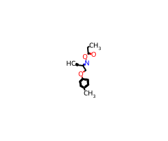 C#C/C(COc1ccc(C)cc1)=N\OC(=O)CC